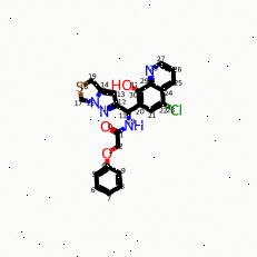 O=C(COc1ccccc1)NC(c1cc2n(n1)CSC2)c1cc(Cl)c2cccnc2c1O